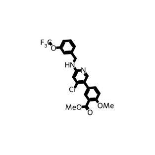 COC(=O)c1cc(-c2cnc(NCc3cccc(OC(F)(F)F)c3)cc2Cl)ccc1OC